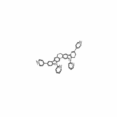 C1=C(c2ccncc2)CCc2c1c1cc3c(cc1n2-c1ccccn1)-c1cc2c(cc1CC3)c1cc(-c3ccncc3)ccc1n2-c1ccccn1